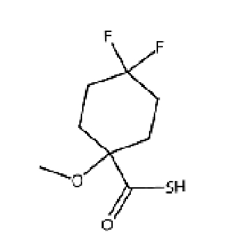 COC1(C(=O)S)CCC(F)(F)CC1